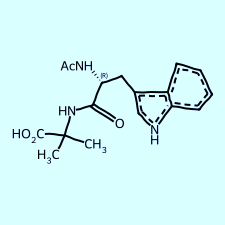 CC(=O)N[C@H](Cc1c[nH]c2ccccc12)C(=O)NC(C)(C)C(=O)O